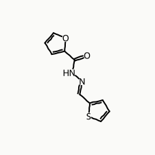 O=C(NN=Cc1cccs1)c1ccco1